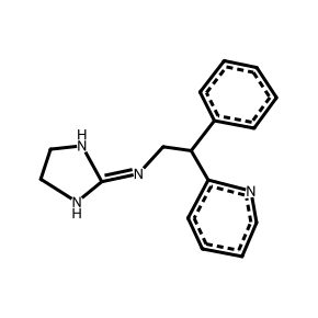 c1ccc(C(CN=C2NCCN2)c2ccccn2)cc1